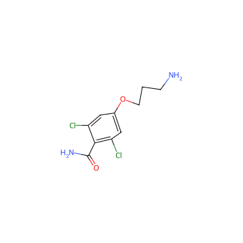 NCCCOc1cc(Cl)c(C(N)=O)c(Cl)c1